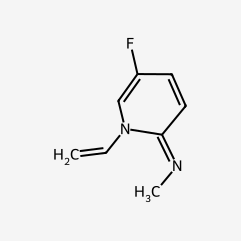 C=Cn1cc(F)cc/c1=N/C